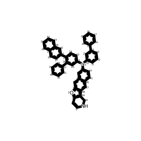 C1=Cc2oc3cc4cc(N(c5cccc(-c6ccccc6)c5)c5ccc(-c6ccc7ccccc7c6)c(-c6ccccc6)c5)ccc4cc3c2CN1